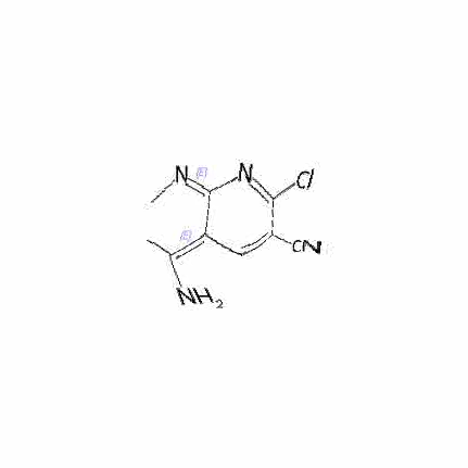 C/N=C1/N=C(Cl)C(C#N)=C/C1=C(/C)N